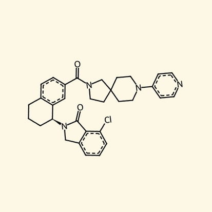 O=C(c1ccc2c(c1)[C@@H](N1Cc3cccc(Cl)c3C1=O)CCC2)N1CCC2(CCN(c3ccncc3)CC2)C1